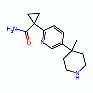 CC1(c2ccc(C3(C(N)=O)CC3)nc2)CCNCC1